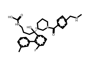 CNCc1ccc(C(=O)N2CCC[C@@H](C(O)(CCCNC(=O)O)c3cccc(F)c3-c3cccc(C)c3)C2)cc1